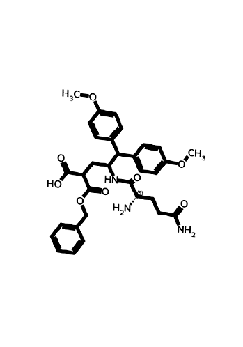 COc1ccc(C(c2ccc(OC)cc2)C(CC(C(=O)O)C(=O)OCc2ccccc2)NC(=O)[C@@H](N)CCC(N)=O)cc1